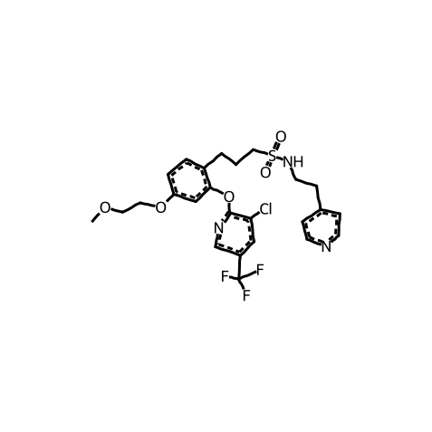 COCCOc1ccc(CCCS(=O)(=O)NCCc2ccncc2)c(Oc2ncc(C(F)(F)F)cc2Cl)c1